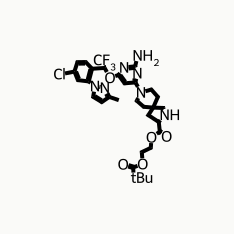 Cc1ccn(-c2cc(Cl)ccc2[C@@H](Oc2cc(N3CCC4(CC3)CNC(C(=O)OCCOC(=O)C(C)(C)C)C4)nc(N)n2)C(F)(F)F)n1